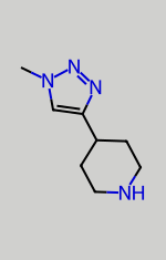 Cn1cc(C2CCNCC2)nn1